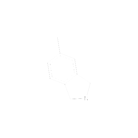 Cc1ccc2c(c1)C[N]C2